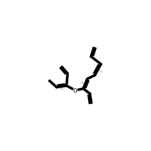 C=C/C=C\C=C(/C=C)O/C(C=C)=C/C